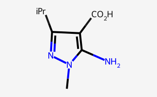 CC(C)c1nn(C)c(N)c1C(=O)O